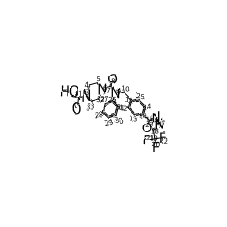 O=C(O)N1CCN(C(=O)N(Cc2ccc(-c3nnc(C(F)(F)F)o3)cc2)c2ccccc2)CC1